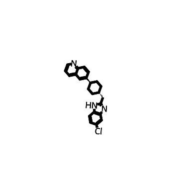 Clc1ccc2[nH]c(C[C@H]3CC[C@H](c4ccc5ncccc5c4)CC3)nc2c1